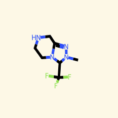 CN1N=C2CNCCN2C1C(F)(F)F